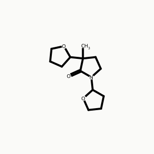 CC1(C2CCCO2)CCN(C2CCCO2)C1=O